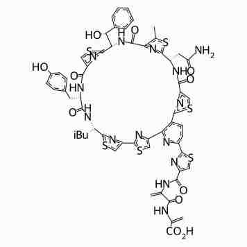 C=C(NC(=O)C(=C)NC(=O)c1csc(-c2ccc3c(n2)-c2csc(n2)-c2csc(n2)[C@H]([C@@H](C)CC)NC(=O)[C@H](Cc2ccc(O)cc2)NC(=O)c2csc(n2)[C@H]([C@H](O)c2ccccc2)NC(=O)c2nc(sc2C)[C@H](CC(N)=O)NC(=O)c2csc-3n2)n1)C(=O)O